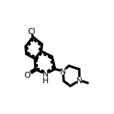 CN1CCN(c2cc3cc(Cl)ccc3c(=O)[nH]2)CC1